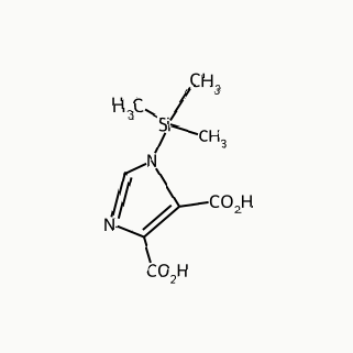 C[Si](C)(C)n1cnc(C(=O)O)c1C(=O)O